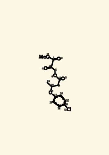 COC(=O)C(=O)COC(=O)CC(C)Oc1ccc(Cl)cc1